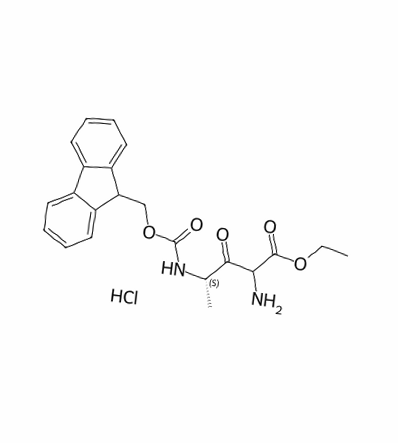 CCOC(=O)C(N)C(=O)[C@H](C)NC(=O)OCC1c2ccccc2-c2ccccc21.Cl